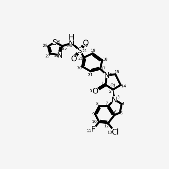 O=C1[C@H](N2CCc3c2ccc(F)c3Cl)CCN1c1ccc(S(=O)(=O)Nc2nccs2)cc1